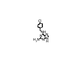 Nc1nc(NCc2ccc(Cl)cc2)c2nc[nH]c2n1